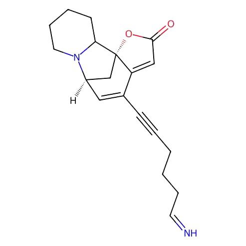 N=CCCCC#CC1=C[C@@H]2C[C@@]3(OC(=O)C=C13)C1CCCCN12